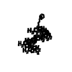 Cc1c(C(C)(C)C)cc(SC(C)(C)Sc2cc(C(C)(C)C)cc(C(C)(C)C)c2)cc1C(C)(C)CCCCCN1CCCCC1